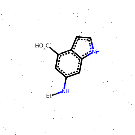 CCNc1cc(C(=O)O)c2cc[nH]c2c1